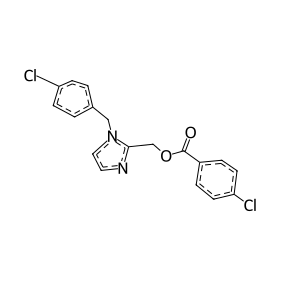 O=C(OCc1nccn1Cc1ccc(Cl)cc1)c1ccc(Cl)cc1